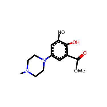 COC(=O)c1cc(N2CCN(C)CC2)cc(N=O)c1O